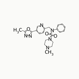 Cc1nnc(-c2ccc(CN(c3ccccc3)S(=O)(=O)N3CCN(C)CC3)nc2)o1